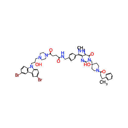 C[C@H](CC(=O)N1CCC(O)(Cn2cnc3c(-c4ccc(CNC(=O)CCC(=O)N5CCN(C[C@H](O)Cn6c7ccc(Br)cc7c7cc(Br)ccc76)CC5)cc4)n(C)nc3c2=O)CC1)c1ccccc1